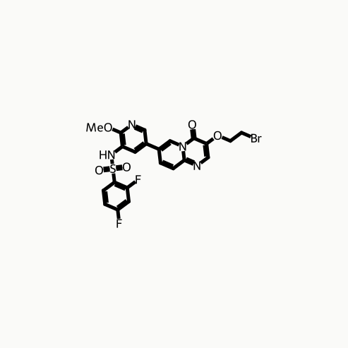 COc1ncc(-c2ccc3ncc(OCCBr)c(=O)n3c2)cc1NS(=O)(=O)c1ccc(F)cc1F